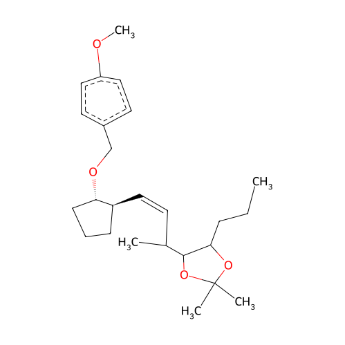 CCCC1OC(C)(C)OC1C(C)/C=C\[C@H]1CCC[C@@H]1OCc1ccc(OC)cc1